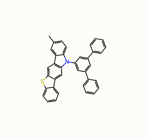 Cc1ccc2c(c1)c1cc3sc4ccccc4c3cc1n2-c1cc(-c2ccccc2)cc(-c2ccccc2)c1